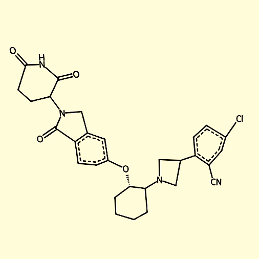 N#Cc1cc(Cl)ccc1C1CN(C2CCCC[C@@H]2Oc2ccc3c(c2)CN(C2CCC(=O)NC2=O)C3=O)C1